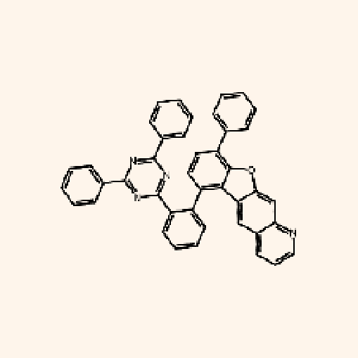 c1ccc(-c2nc(-c3ccccc3)nc(-c3ccccc3-c3ccc(-c4ccccc4)c4oc5cc6ncccc6cc5c34)n2)cc1